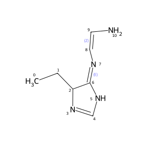 CCC1N=CN/C1=N/C=C\N